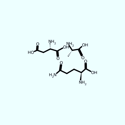 C[C@H](N)C(=O)O.NC(=O)CC[C@H](N)C(=O)O.N[C@@H](CC(=O)O)C(=O)O